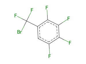 Fc1cc(C(F)(F)Br)c(F)c(F)c1F